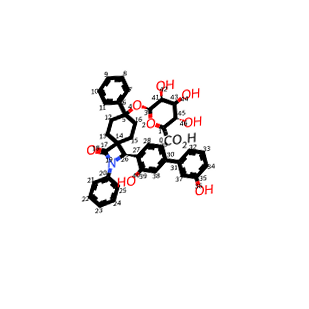 O=C(O)C1O[C@@H](OC2(c3ccccc3)CCC3(CC2)C(=O)N(c2ccccc2)[C@@H]3c2ccc(-c3cccc(O)c3)cc2O)[C@@H](O)C(O)[C@@H]1O